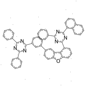 c1ccc(-c2nc(-c3ccccc3)nc(-c3cccc(-c4ccc5oc6cccc(-c7nc(-c8ccccc8)nc(-c8cccc9ccccc89)n7)c6c5c4)c3)n2)cc1